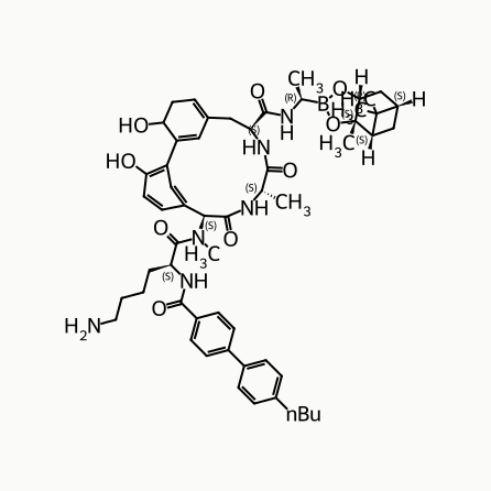 CCCCc1ccc(-c2ccc(C(=O)N[C@@H](CCCCN)C(=O)N(C)[C@@H]3C(=O)N[C@@H](C)C(=O)N[C@H](C(=O)N[C@@H](C)B4O[C@@H]5C[C@@H]6C[C@@H](C6(C)C)[C@]5(C)O4)CC4=CCC(O)C(=C4)c4cc3ccc4O)cc2)cc1